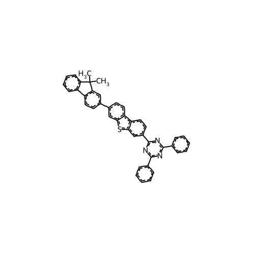 CC1(C)c2ccccc2-c2ccc(-c3ccc4c(c3)sc3cc(-c5nc(-c6ccccc6)nc(-c6ccccc6)n5)ccc34)cc21